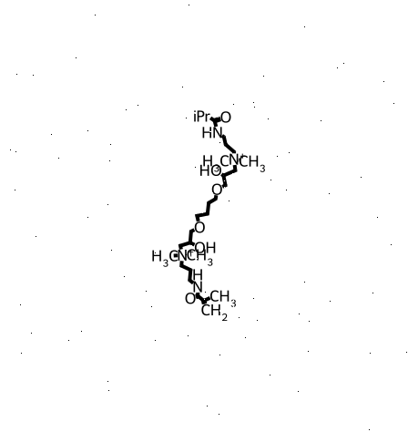 C=C(C)C(=O)NCCC[N+](C)(C)CC(O)COCCCCOCC(O)C[N+](C)(C)CCCNC(=O)C(C)C